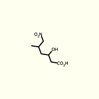 CC(CC(O)CC(=O)O)C[N+](=O)[O-]